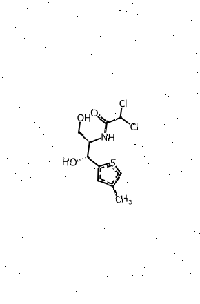 Cc1csc([C@H](O)[C@@H](CO)NC(=O)C(Cl)Cl)c1